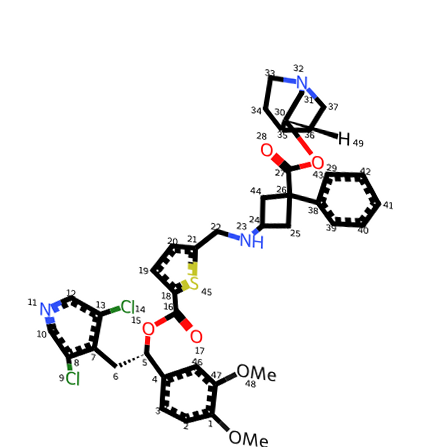 COc1ccc([C@H](Cc2c(Cl)cncc2Cl)OC(=O)c2ccc(CNC3CC(C(=O)O[C@H]4CN5CCC4CC5)(c4ccccc4)C3)s2)cc1OC